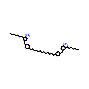 CCCCCCCc1cc(Cc2ccc(CCCCCCCCCCCCCc3ccc(Cc4ccc(N)c(CCCCCCC)c4)cc3)cc2)ccc1N